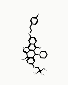 CC(C)(C)COc1cc(C(c2c(O)c3ccc(OCCc4ccc(F)cc4)cc3c3occ(C(=O)O)c23)N2CCCCC2)ccn1